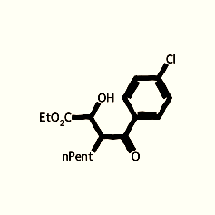 CCCCCC(C(=O)c1ccc(Cl)cc1)C(O)C(=O)OCC